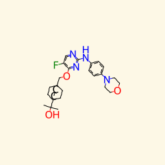 CC(C)(O)C12CCC(COc3nc(Nc4ccc(N5CCOCC5)cc4)ncc3F)(CC1)CC2